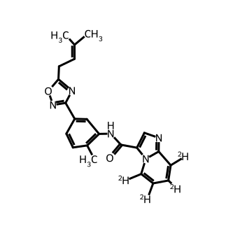 [2H]c1c([2H])c([2H])n2c(C(=O)Nc3cc(-c4noc(CC=C(C)C)n4)ccc3C)cnc2c1[2H]